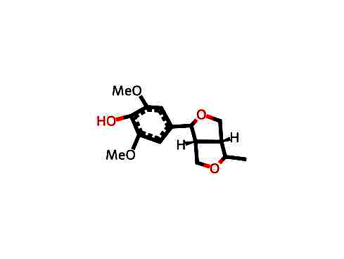 COc1cc(C2OC[C@@H]3C(C)OC[C@H]23)cc(OC)c1O